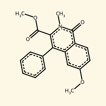 COC(=O)c1c(-c2ccccc2)c2cc(OC)ccc2c(=O)n1C